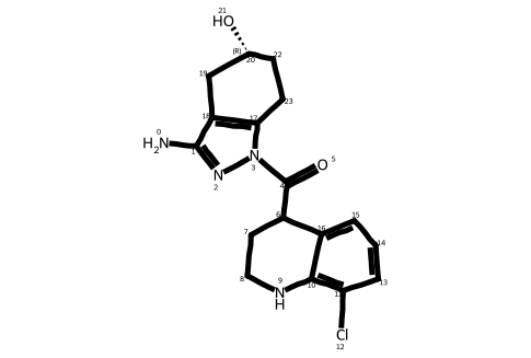 Nc1nn(C(=O)C2CCNc3c(Cl)cccc32)c2c1C[C@H](O)CC2